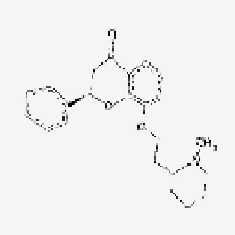 CN1CCCCC1CCOc1cccc2c1O[C@@H](c1ccccc1)CC2=O